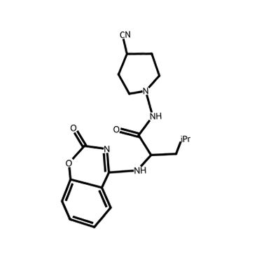 CC(C)CC(Nc1nc(=O)oc2ccccc12)C(=O)NN1CCC(C#N)CC1